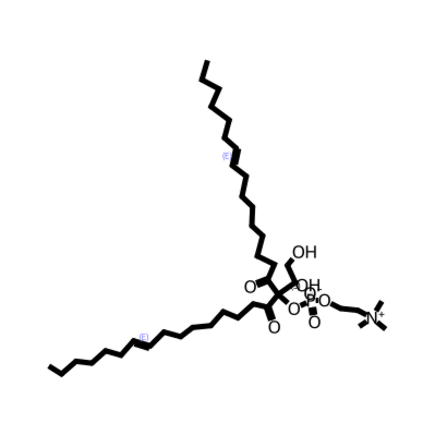 CCCCCC/C=C/CCCCCCCC(=O)C(OP(=O)([O-])OCC[N+](C)(C)C)(C(=O)CCCCCCC/C=C/CCCCCC)[C@@H](O)CO